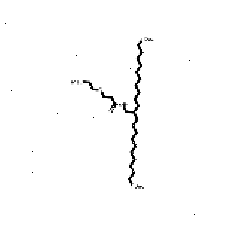 CCCCCCCCCCCCCCCCCCCCC(CCCCCCCCCCCCCCCCCCCC)CNC(=O)CCOCCOC